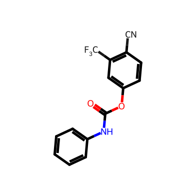 N#Cc1ccc(OC(=O)Nc2ccccc2)cc1C(F)(F)F